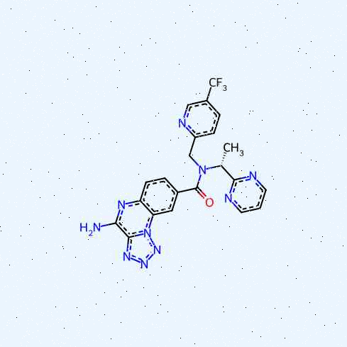 C[C@H](c1ncccn1)N(Cc1ccc(C(F)(F)F)cn1)C(=O)c1ccc2nc(N)c3nnnn3c2c1